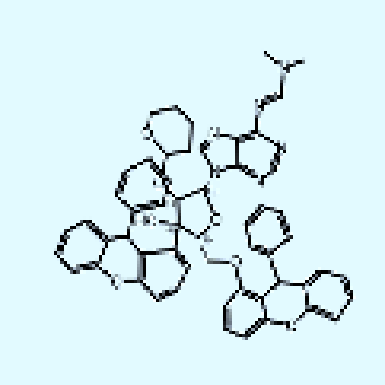 CN(C)C=Nc1ncnc2c1ncn2[C@@H]1O[C@H](COc2cccc3c2C(c2ccccc2)c2ccccc2O3)[C@](O)(c2cccc3c2C(c2ccccc2)c2ccccc2O3)[C@H]1OC1CCCCO1